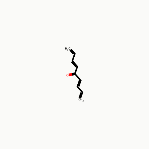 C=C/C=C/C(=O)/C=C/C=C